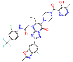 CCc1c(N2CCN(C(=O)c3ncnc(C)c3O)CC2)c(=O)n2nc(-c3cc(F)c4nc(C)oc4c3)nc2n1CC(=O)Nc1ccc(C(F)(F)F)cc1Cl